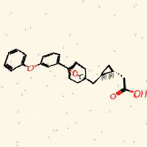 O=C(O)C[C@H]1C[C@@H]1CC12CCC(c3cccc(Oc4ccccc4)c3)(CC1)OC2